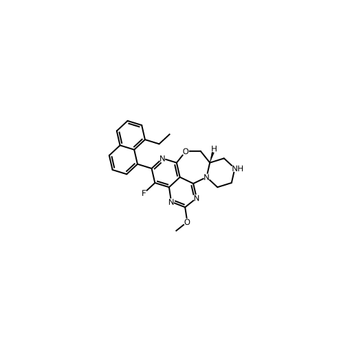 CCc1cccc2cccc(-c3nc4c5c(nc(OC)nc5c3F)N3CCNC[C@H]3CO4)c12